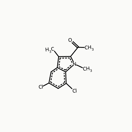 CC(=O)c1c(C)c2cc(Cl)cc(Cl)c2n1C